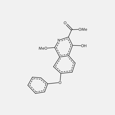 COC(=O)c1nc(OC)c2cc(Oc3ccccc3)ccc2c1O